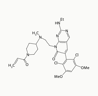 C=CC(=O)N1CCC(N(C)CCn2c(=O)c(-c3c(Cl)c(OC)cc(OC)c3Cl)cc3cnc(NCC)nc32)CC1